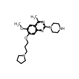 COc1cc2c(C)nc(N3CCNCC3)nc2cc1OCCCN1CCCC1